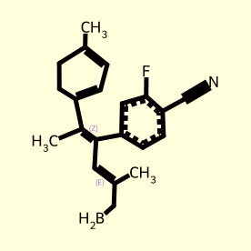 BC/C(C)=C/C(=C(\C)C1=CC=C(C)CC1)c1ccc(C#N)c(F)c1